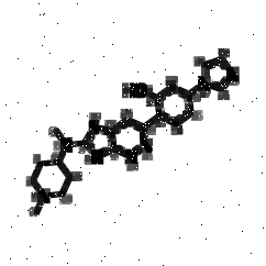 CN1CCC(N(C)c2nc3nnc(-c4ccc(-n5ccnc5)cc4O)cc3s2)CC1